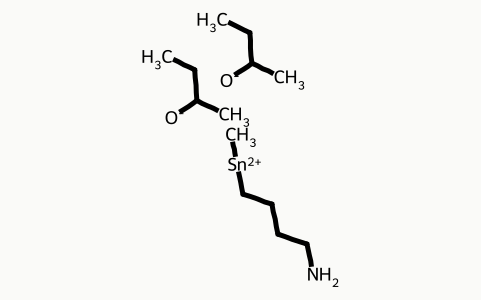 CCC(C)[O-].CCC(C)[O-].[CH3][Sn+2][CH2]CCCN